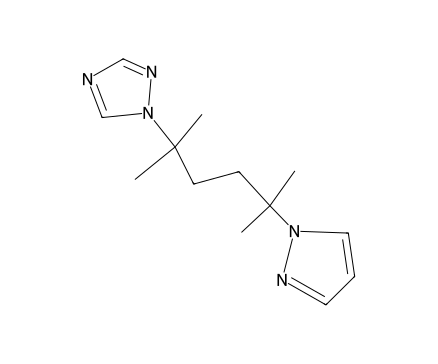 CC(C)(CCC(C)(C)n1cncn1)n1cccn1